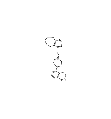 c1cc2c(c(CCN3CCN(c4cccc5c4CCOO5)CC3)c1)CCCCC2